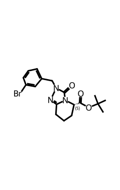 CC(C)(C)OC(=O)[C@@H]1CCCc2nn(Cc3cccc(Br)c3)c(=O)n21